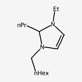 CCCCCCCN1C=CN(CC)C1CCC